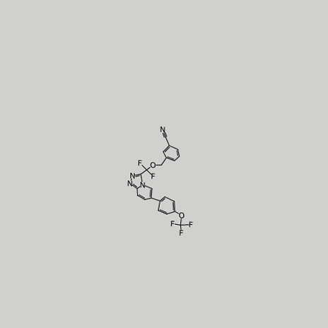 N#Cc1cccc(COC(F)(F)c2nnc3ccc(-c4ccc(OC(F)(F)F)cc4)cn23)c1